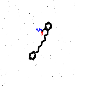 NC(=O)c1ccccc1CCC[CH]CCCc1ccccc1